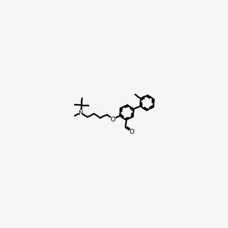 Cc1ccccc1-c1ccc(OCCCCN(C)C(C)(C)C)c(C=O)c1